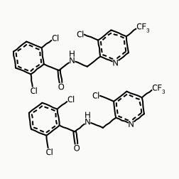 O=C(NCc1ncc(C(F)(F)F)cc1Cl)c1c(Cl)cccc1Cl.O=C(NCc1ncc(C(F)(F)F)cc1Cl)c1c(Cl)cccc1Cl